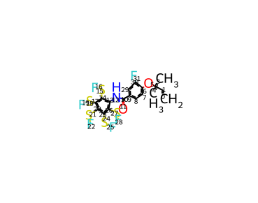 C=CC(C)(C)Oc1ccc(C(=O)Nc2c(SF)c(SF)c(SF)c(SF)c2SF)cc1F